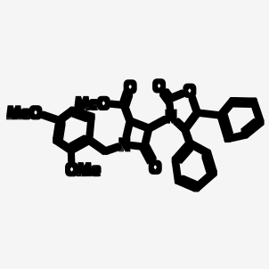 COC(=O)C1C(N2C(=O)OC(c3ccccc3)C2c2ccccc2)C(=O)N1Cc1ccc(OC)cc1OC